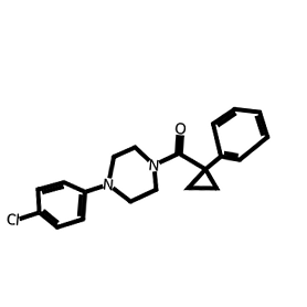 O=C(N1CCN(c2ccc(Cl)cc2)CC1)C1(c2ccccc2)CC1